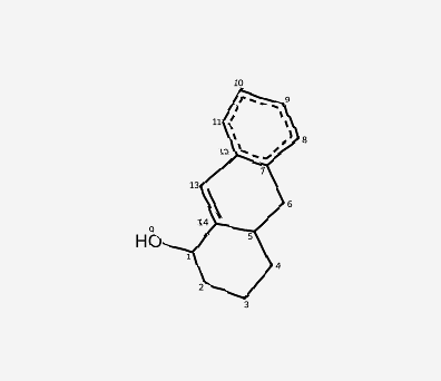 OC1CCCC2Cc3ccccc3C=C12